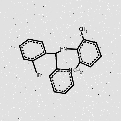 Cc1cccc(C)c1NC(c1ccccn1)c1ccccc1C(C)C